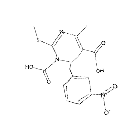 CSC1=NC(C)=C(C(=O)O)C(c2cccc([N+](=O)[O-])c2)N1C(=O)O